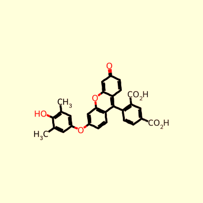 Cc1cc(Oc2ccc3c(-c4ccc(C(=O)O)cc4C(=O)O)c4ccc(=O)cc-4oc3c2)cc(C)c1O